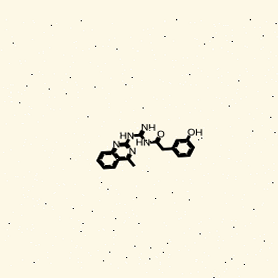 Cc1nc(NC(=N)NC(=O)Cc2cccc(O)c2)nc2ccccc12